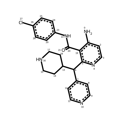 Nc1ccnc(C(c2ccncc2)C2CCNCC2)c1C(=O)Nc1ccc(Cl)cc1